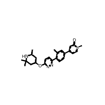 Cc1cc(-c2ccn(C)c(=O)c2)ccc1-c1ccc(OC2CC(C)NC(C)(C)C2)nn1